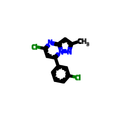 Cc1cc2nc(Cl)cc(-c3cccc(Cl)c3)n2n1